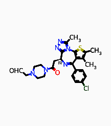 Cc1sc2c(c1C)C(c1ccc(Cl)cc1)=N[C@@H](CC(=O)N1CCN(CC=O)CC1)c1nnc(C)n1-2